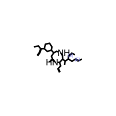 C=C=C(CC)C1CCCC(C2CNCC(C(C)C(/C=C\C)C/C=C/C)C(CC=C)NC(C)C2)C1